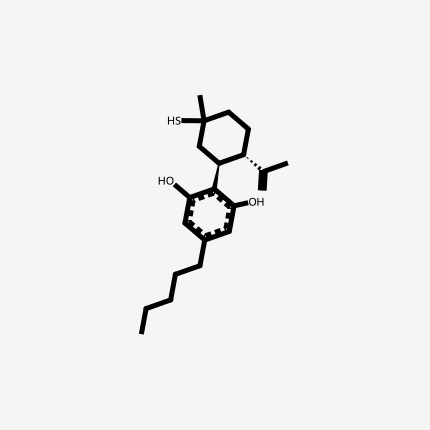 C=C(C)[C@H]1CCC(C)(S)C[C@@H]1c1c(O)cc(CCCCC)cc1O